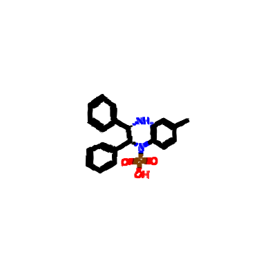 Cc1ccc(N([C@H](c2ccccc2)[C@@H](N)c2ccccc2)S(=O)(=O)O)cc1